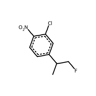 C[C](CF)c1ccc([N+](=O)[O-])c(Cl)c1